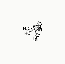 CCN(CCO)C(=O)C(Cc1cccc(C(F)(F)F)c1)Nc1nc2ccccc2[nH]1